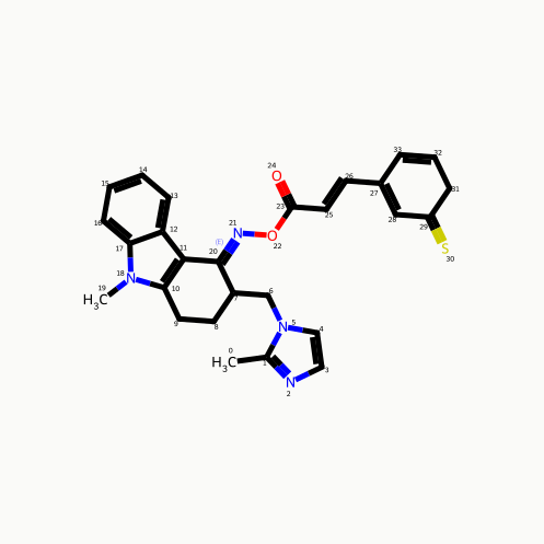 Cc1nccn1CC1CCc2c(c3ccccc3n2C)/C1=N/OC(=O)C=CC1=CC(=S)CC=C1